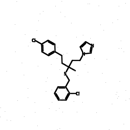 CC(CCc1ccc(Cl)cc1)(CCn1ccnc1)SCc1ccccc1Cl